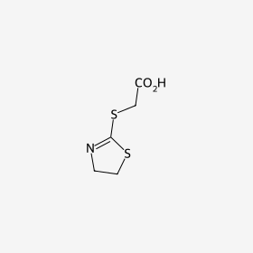 O=C(O)CSC1=NCCS1